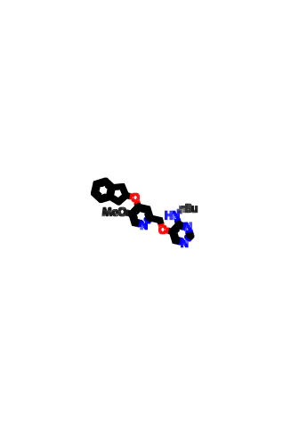 CCCCNc1ncncc1OCc1cc(OC2Cc3ccccc3C2)c(OC)cn1